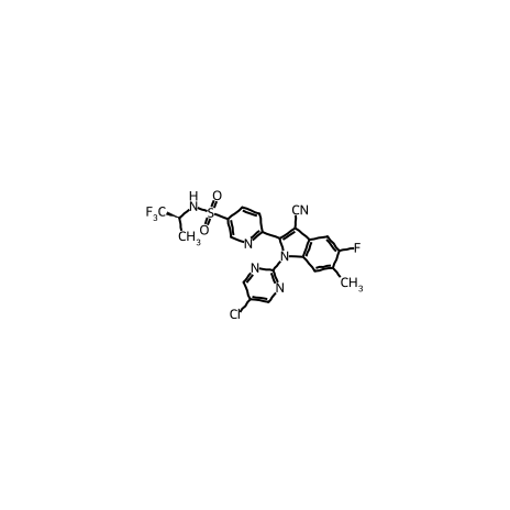 Cc1cc2c(cc1F)c(C#N)c(-c1ccc(S(=O)(=O)N[C@@H](C)C(F)(F)F)cn1)n2-c1ncc(Cl)cn1